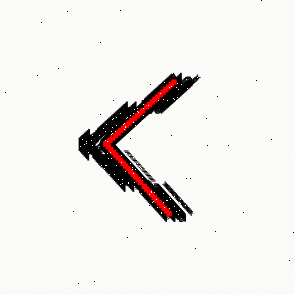 O.O.O.O.O.O.O.O.O.O.O.O.O.O.O.[Na+].[Na+].[Na+].[Na+].[Na+].[Na+].[Na+].[Na+].[Na+].[Na+].[Na+].[Na+].[Na+].[Na+].[Na+].[Na+].[Na+].[Na+].[Na+].[Na+].[Na+].[Na+].[Na+].[Na+].[Na+].[Na+].[Na+].[Na+].[Na+].[Na+].[Na+].[Na+].[Na+].[Na+].[Na+].[Na+].[Na+].[Na+].[Na+].[Na+].[Na+].[Na+].[Na+].[Na+].[Na+].[OH-].[OH-].[OH-].[OH-].[OH-].[OH-].[OH-].[OH-].[OH-].[OH-].[OH-].[OH-].[OH-].[OH-].[OH-].[OH-].[OH-].[OH-].[OH-].[OH-].[OH-].[OH-].[OH-].[OH-].[OH-].[OH-].[OH-].[OH-].[OH-].[OH-].[OH-].[OH-].[OH-].[OH-].[OH-].[OH-].[OH-].[OH-].[OH-].[OH-].[OH-].[OH-].[OH-].[OH-].[OH-]